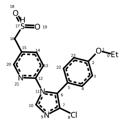 CCOc1ccc(-c2c(Cl)ncn2-c2ccc(C[SH](=O)=O)cn2)cc1